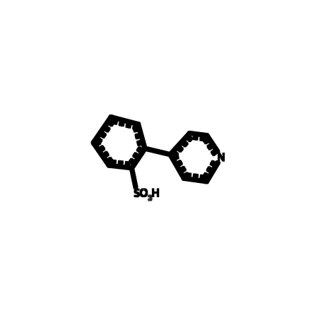 O=S(=O)(O)c1ccccc1-c1ccncc1